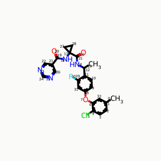 Cc1ccc(Cl)c(Oc2ccc(C(C)NC(=O)C3(NC(=O)c4cncnc4)CC3)c(F)c2)c1